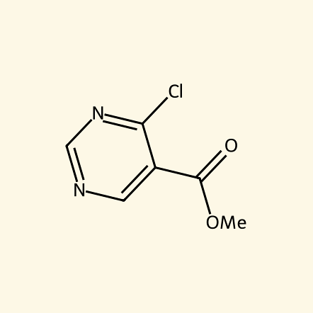 COC(=O)c1cncnc1Cl